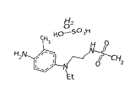 CCN(CCNS(C)(=O)=O)c1ccc(N)c(C)c1.O.O=S(=O)(O)O